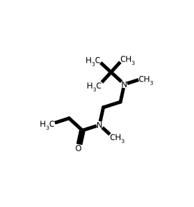 CCC(=O)N(C)CCN(C)C(C)(C)C